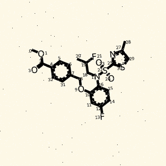 COC(=O)c1ccc(COc2cc(F)ccc2N(CC(C)F)S(=O)(=O)c2nc(C)cs2)cc1